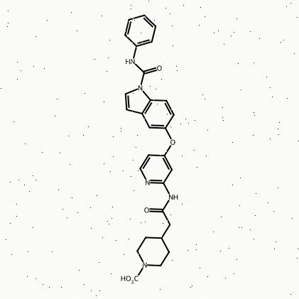 O=C(CC1CCN(C(=O)O)CC1)Nc1cc(Oc2ccc3c(ccn3C(=O)Nc3ccccc3)c2)ccn1